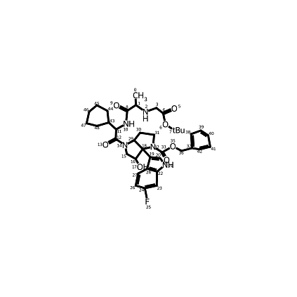 CC(NCC(=O)OC(C)(C)C)C(=O)NC(C(=O)N1CC(O)C2(c3c[nH]c4cc(F)ccc34)C1CCN2C(=O)OCc1ccccc1)C1CCCCC1